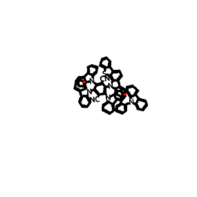 N#Cc1c(-n2c3ccccc3c3ccccc32)c(-n2c3ccccc3c3ccccc32)c(C#N)c(-n2c3cc(-c4ccccc4-n4c5ccccc5c5ccccc54)ccc3c3ccc4c5ccccc5sc4c32)c1-n1c2ccccc2c2ccccc21